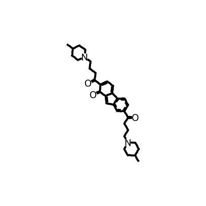 CC1CCN(CCCC(=O)C2=CC=C3C(=Cc4cc(C(=O)CCCN5CCC(C)CC5)ccc43)C2=O)CC1